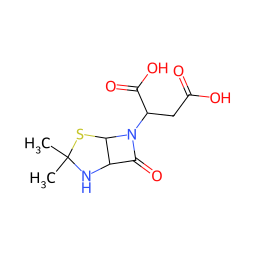 CC1(C)NC2C(=O)N(C(CC(=O)O)C(=O)O)C2S1